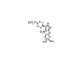 CCOC(=O)C1CCN(c2[nH]nc(Oc3ccc(O)c(O)c3)c2[N+](=O)[O-])CC1